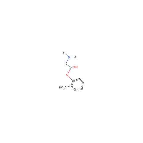 CCN(CC)CC(=O)Oc1ccccc1C(=O)O